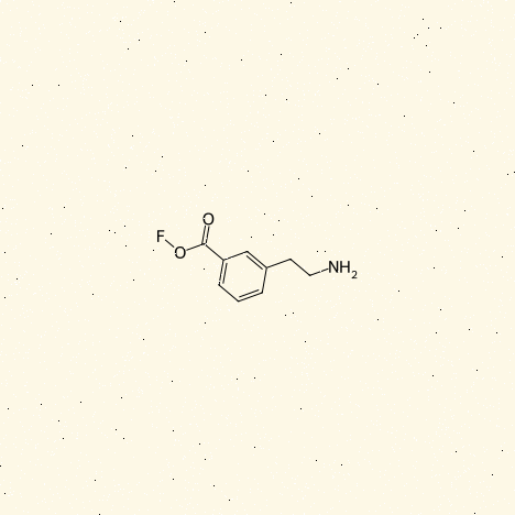 NCCc1cccc(C(=O)OF)c1